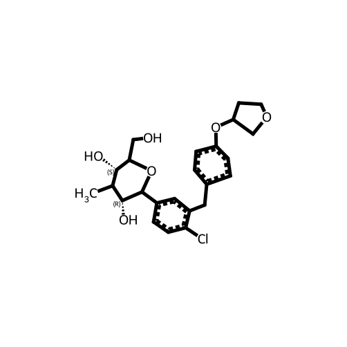 CC1[C@H](O)C(CO)OC(c2ccc(Cl)c(Cc3ccc(OC4CCOC4)cc3)c2)[C@@H]1O